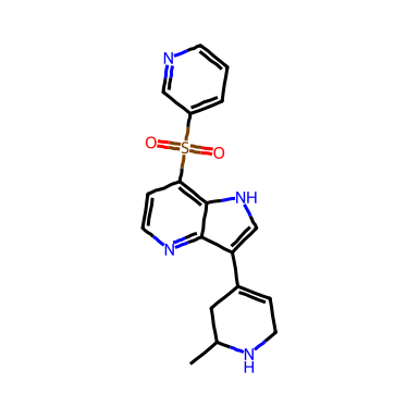 CC1CC(c2c[nH]c3c(S(=O)(=O)c4cccnc4)ccnc23)=CCN1